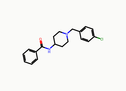 O=C(NC1CCN(Cc2ccc(Cl)cc2)CC1)c1ccccc1